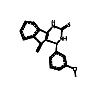 C=C1C2=C(NC(=S)NC2c2cccc(OC)c2)c2ccccc21